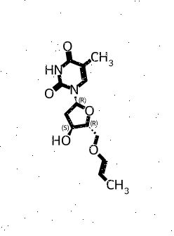 CC=COC[C@H]1O[C@@H](n2cc(C)c(=O)[nH]c2=O)C[C@@H]1O